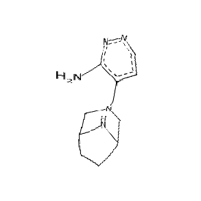 Nc1nnccc1N1CC2CCC(C1)N2